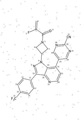 C=C(F)C(=O)N1CC(n2nc(-c3ccc(C(F)(F)F)cc3)c3nccc(-c4cnc(C#N)nc4)c32)C1